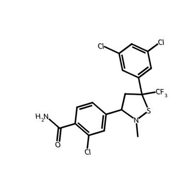 CN1SC(c2cc(Cl)cc(Cl)c2)(C(F)(F)F)CC1c1ccc(C(N)=O)c(Cl)c1